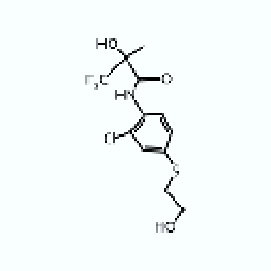 CC(O)(C(=O)Nc1ccc(SCCO)cc1Cl)C(F)(F)F